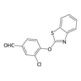 O=Cc1ccc(Oc2nc3ccccc3s2)c(Cl)c1